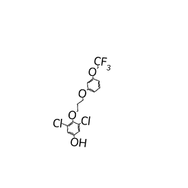 Oc1cc(Cl)c(OCCCOc2cccc(OCC(F)(F)F)c2)c(Cl)c1